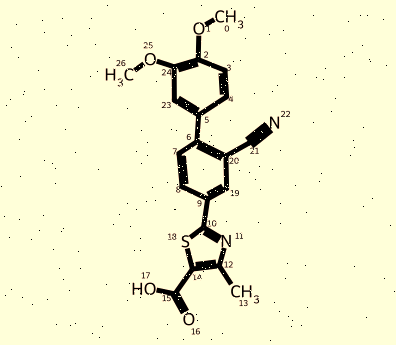 COc1ccc(-c2ccc(-c3nc(C)c(C(=O)O)s3)cc2C#N)cc1OC